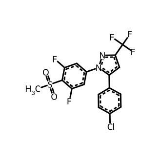 CS(=O)(=O)c1c(F)cc(-n2nc(C(F)(F)F)cc2-c2ccc(Cl)cc2)cc1F